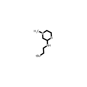 CN1CC[N]C(NCCC(C)(C)C)C1